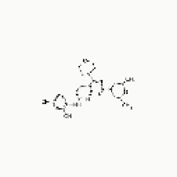 CC1CN(c2nc(N3CCOCC3)c3ccc(Nc4ccc(Cl)cc4O)nc3n2)CC(C)O1